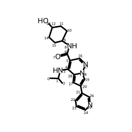 CC(C)Nc1c(C(=O)NC2CCC(O)CC2)cnn2cc(-c3cccnc3)cc12